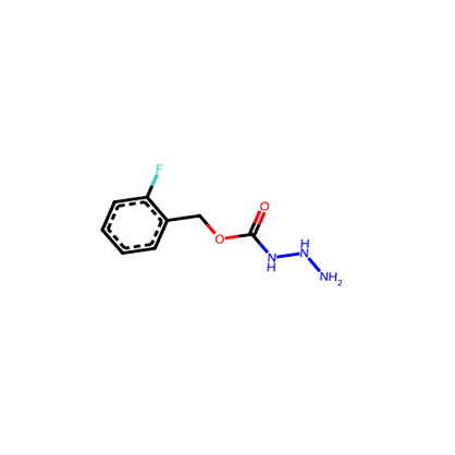 NNNC(=O)OCc1ccccc1F